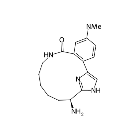 CNc1ccc2c(c1)C(=O)NCCCCC[C@H](N)c1nc-2c[nH]1